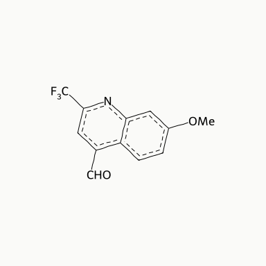 COc1ccc2c(C=O)cc(C(F)(F)F)nc2c1